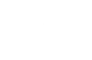 CC1(C)CC=[C]C2=C1CCCC2